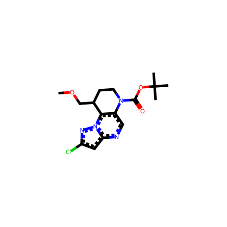 COCC1CCN(C(=O)OC(C)(C)C)c2cnc3cc(Cl)nn3c21